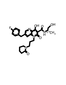 C[C@@H](CO)NC(=O)c1c(O)c2ncc(Cc3ccc(F)cc3)cc2n(CCCN2CCCCC2=O)c1=O